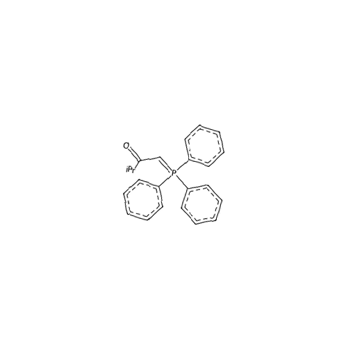 CC(C)C(=O)C=P(c1ccccc1)(c1ccccc1)c1ccccc1